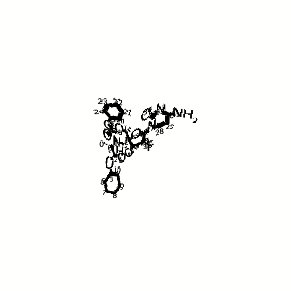 C[C@@H](C(=O)OC1CCCCC1)N1C[C@]2(COP1(=O)Oc1ccccc1)O[C@@H](n1ccc(N)nc1=O)[C@H](F)[C@@H]2O